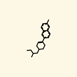 CCC(C)CC1CC=C(c2ccc3cc(C)ccc3c2)CC1